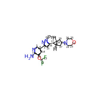 CC(C)n1nc(-c2cnc(N)c(OC(F)F)c2)cc1[C@H]1[C@@H]2C[C@@H](N3CCOCC3)C[C@@H]21